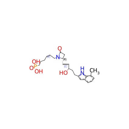 Cc1cccc2cc(CCC(O)/C=C/[C@H]3CC(=O)N3C/C=C\CCCP(=O)(O)O)[nH]c12